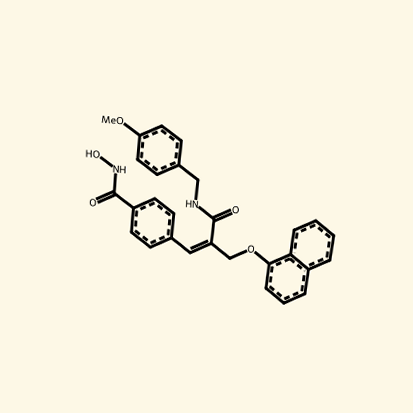 COc1ccc(CNC(=O)C(=Cc2ccc(C(=O)NO)cc2)COc2cccc3ccccc23)cc1